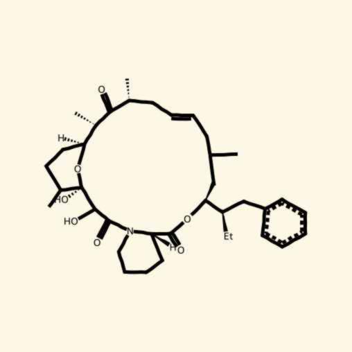 CC[C@H](Cc1ccccc1)[C@@H]1CC(C)C/C=C/C[C@@H](C)C(=O)[C@@H](C)[C@@H]2CCC(C)[C@@](O)(O2)C(O)C(=O)N2CCCC[C@H]2C(=O)O1